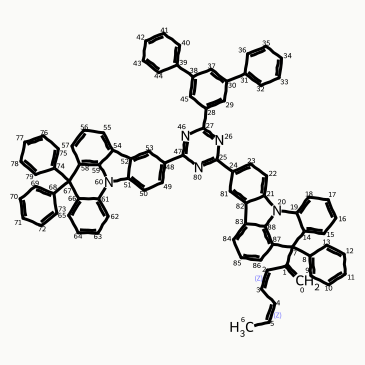 C=C(/C=C\C=C/C)C1(c2ccccc2)c2ccccc2-n2c3ccc(-c4nc(-c5cc(-c6ccccc6)cc(-c6ccccc6)c5)nc(-c5ccc6c(c5)c5cccc7c5n6-c5ccccc5C7(c5ccccc5)c5ccccc5)n4)cc3c3cccc1c32